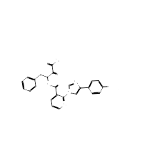 NC(=O)C(=O)C(Cc1ccccc1)NC(=O)c1cccnc1-n1cnc(-c2ccc(C(F)(F)F)cc2)c1